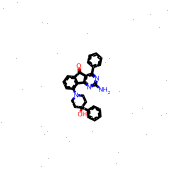 Nc1nc(-c2ccccc2)c2c(n1)-c1c(cccc1N1CCC(O)(c3ccccc3)CC1)C2=O